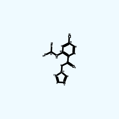 O=C(Cn1cncn1)c1ccc(Cl)cc1OC(F)F